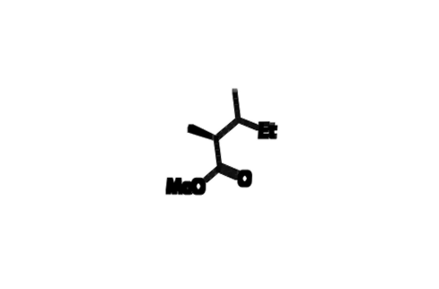 CCC(C)[C@H](C)C(=O)OC